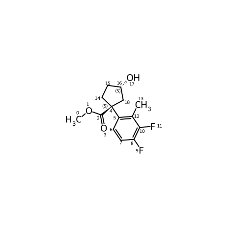 COC(=O)[C@@]1(c2ccc(F)c(F)c2C)CC[C@H](O)C1